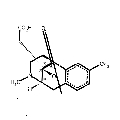 Cc1ccc2c(c1)[C@]13CCN(C)[C@H](C2)[C@]1(O)C[C@H](CC(=O)O)C(=O)C3